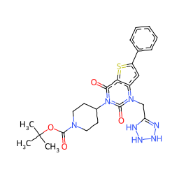 CC(C)(C)OC(=O)N1CCC(n2c(=O)c3sc(-c4ccccc4)cc3n(CC3=NNNN3)c2=O)CC1